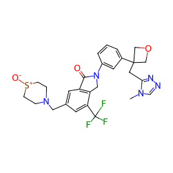 Cn1cnnc1CC1(c2cccc(N3Cc4c(cc(CN5CC[S+]([O-])CC5)cc4C(F)(F)F)C3=O)c2)COC1